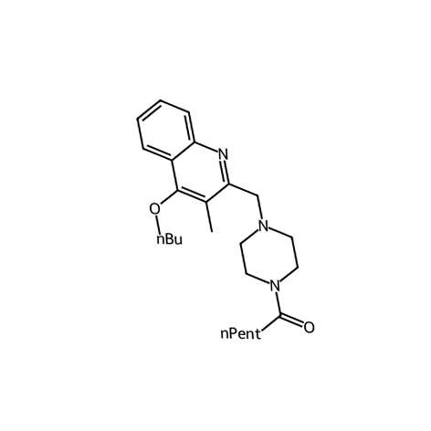 CCCCCC(=O)N1CCN(Cc2nc3ccccc3c(OCCCC)c2C)CC1